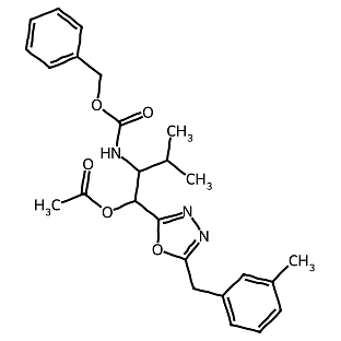 CC(=O)OC(c1nnc(Cc2cccc(C)c2)o1)C(NC(=O)OCc1ccccc1)C(C)C